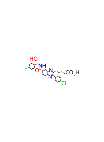 O=C(O)CCCCc1nc2cc(C(=O)NC(CO)c3ccc(F)cc3)ccc2nc1-c1ccc(Cl)cc1